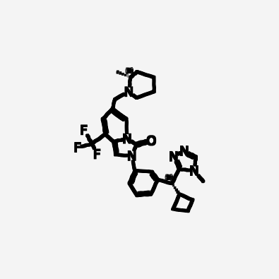 C[C@@H]1CCCCN1Cc1cc(C(F)(F)F)c2cn(-c3cccc([C@H](c4nncn4C)C4CCC4)c3)c(=O)n2c1